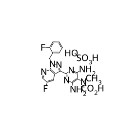 CN(C(=O)O)c1c(N)nc(-c2nn(Cc3ccccc3F)c3ncc(F)cc23)nc1N.O=S(=O)(O)O